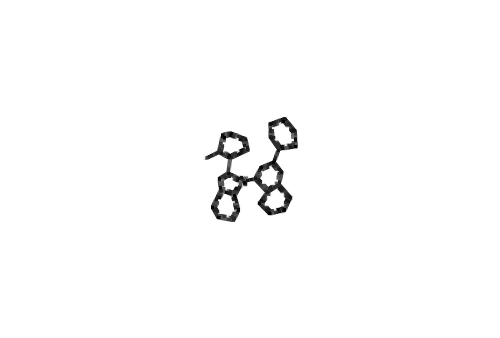 Cc1ccccc1-c1cc2ccccc2n1-c1cc(-c2ccccc2)cc2ccccc12